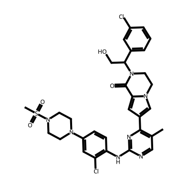 Cc1cnc(Nc2ccc(N3CCN(S(C)(=O)=O)CC3)cc2Cl)nc1-c1cc2n(c1)CCN(C(CO)c1cccc(Cl)c1)C2=O